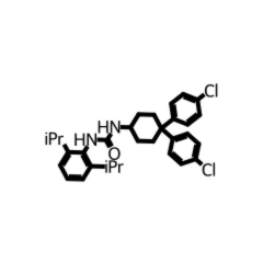 CC(C)c1cccc(C(C)C)c1NC(=O)NC1CCC(c2ccc(Cl)cc2)(c2ccc(Cl)cc2)CC1